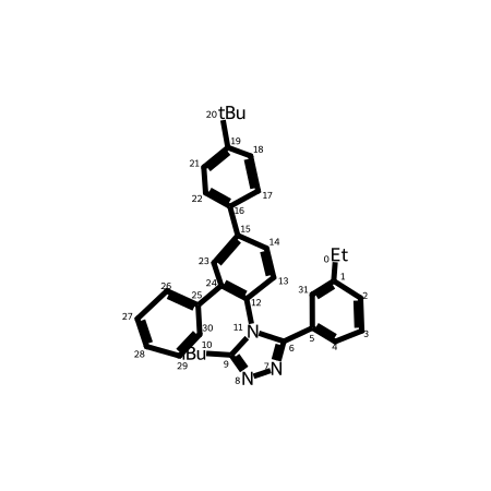 CCc1cccc(-c2nnc(C(C)CC)n2-c2ccc(-c3ccc(C(C)(C)C)cc3)cc2-c2ccccc2)c1